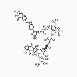 COc1cccc2c1C(=O)c1c(O)c3c(c(O)c1C2=O)C[C@@](O)(/C(CO)=N\NC(=O)CCN1C(=O)CC(SC[C@H](NC(=O)[C@H](CC(=O)O)NC(=O)[C@@H](N)CNC(=O)CC[C@@H](NC(=O)c2ccc(NCc4cnc5nc(N)[nH]c(=O)c5n4)cc2)C(=O)O)C(=O)O)C1=O)C[C@@H]3O[C@H]1C[C@@H](N)[C@H](O)C(O)O1